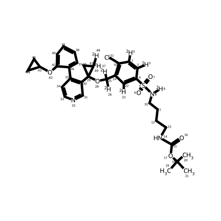 [2H]c1c([2H])c(S(=O)(=O)N([2H])CCCCNC(=O)OC(C)(C)C)c([2H])c(C([2H])([2H])OC2(c3cnccc3-c3ccccc3OC3CC3)CC2([2H])[2H])c1Cl